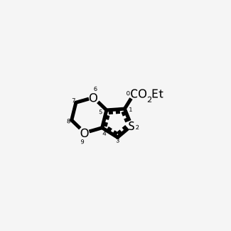 CCOC(=O)c1scc2c1OCCO2